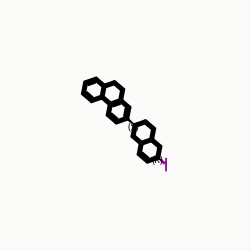 I[C@H]1C=CC2C[C@@H](c3ccc4c(c3)CCC3C=CC=CC43)CCC2C1